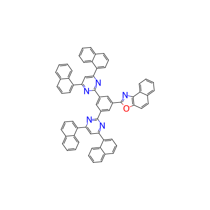 c1ccc2c(-c3cc(-c4cccc5ccccc45)nc(-c4cc(-c5nc(-c6cccc7ccccc67)cc(-c6cccc7ccccc67)n5)cc(-c5nc6c(ccc7ccccc76)o5)c4)n3)cccc2c1